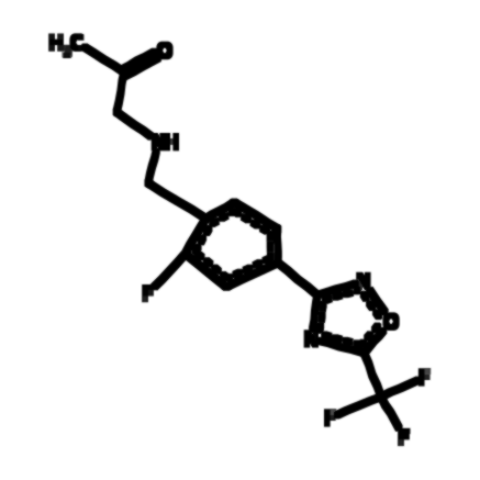 CC(=O)CNCc1ccc(-c2noc(C(F)(F)F)n2)cc1F